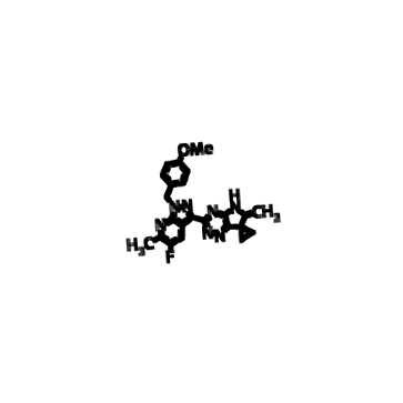 C=C1Nc2nc(-c3nn(Cc4ccc(OC)cc4)c4nc(C)c(F)cc34)nnc2C12CC2